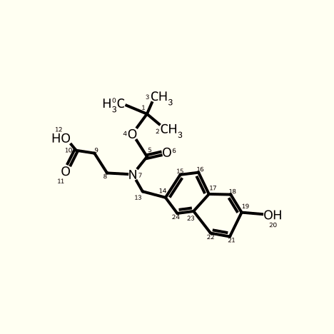 CC(C)(C)OC(=O)N(CCC(=O)O)Cc1ccc2cc(O)ccc2c1